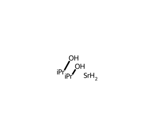 CC(C)O.CC(C)O.[SrH2]